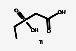 CCP(=O)(O)CC(=O)O.[Ti]